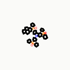 O=P(c1ccccc1)(c1ccccc1)c1ccc(-n2c3ccc(P(=O)(c4ccccc4)c4ccccc4)cc3c3cc(P(=O)(c4ccccc4)c4cc5ccc6cccc7ccc(c4)c5c67)ccc32)cc1